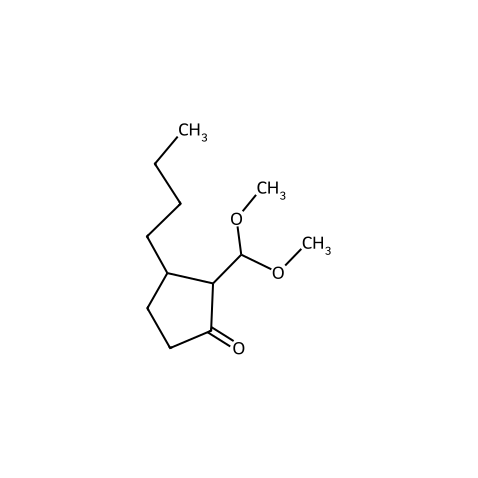 CCCCC1CCC(=O)C1C(OC)OC